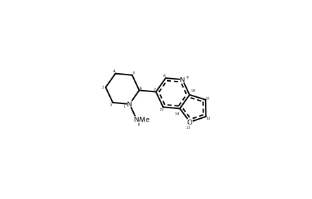 CNN1CCCCC1c1cnc2ccoc2c1